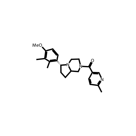 COc1ccc([C@H]2CCC3CN(C(=O)c4ccc(C)nc4)CCN32)c(C)c1C